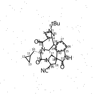 CC(C)(C)n1cc2c(n1)CCN([C@@H](CC1CC1)C(=O)N1C[C@]3(C[C@H]1C#N)C(=O)Nc1ccccc13)C2=O